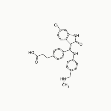 CNCc1ccc(N/C(=C2\C(=O)Nc3cc(Cl)ccc32)c2ccc(CCC(=O)O)cc2)cc1